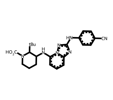 CC(C)(C)C1C(Nc2cccc3nc(Nc4ccc(C#N)cc4)nn23)CCCN1C(=O)O